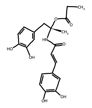 CCC(=O)O[C@@](C)(Cc1ccc(O)c(O)c1)NC(=O)C=Cc1ccc(O)c(O)c1